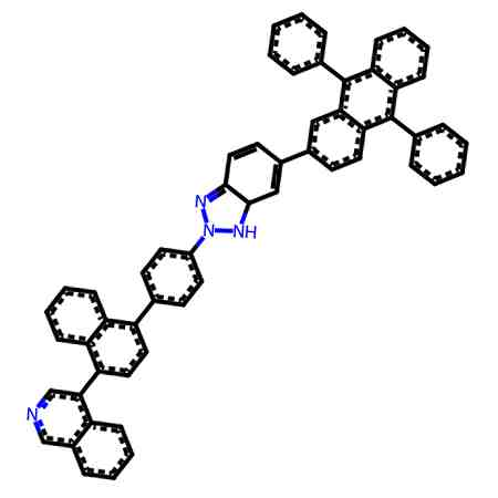 C1=CC2=NN(c3ccc(-c4ccc(-c5cncc6ccccc56)c5ccccc45)cc3)NC2C=C1c1ccc2c(-c3ccccc3)c3ccccc3c(-c3ccccc3)c2c1